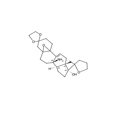 CC1([C@@]2(O)CC[C@@H]3[C@]2(C)CC=C2C45CCC6(CC4(CC[C@]23N)O5)OCCO6)CCCO1